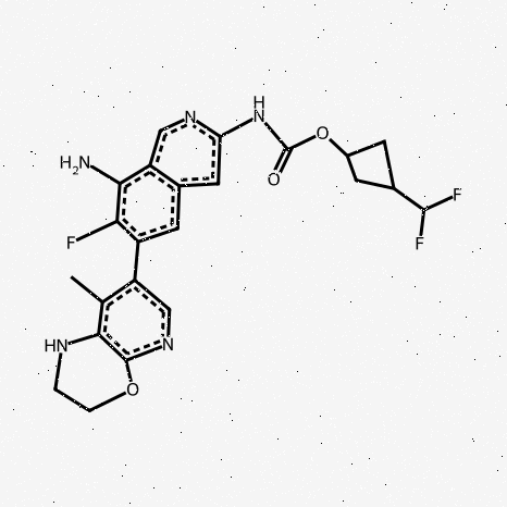 Cc1c(-c2cc3cc(NC(=O)OC4CC(C(F)F)C4)ncc3c(N)c2F)cnc2c1NCCO2